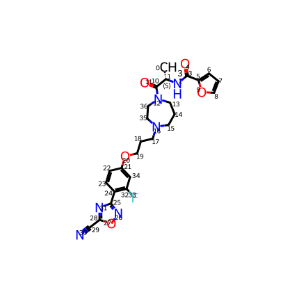 C[C@H](NC(=O)c1ccco1)C(=O)N1CCCN(CCCOc2ccc(-c3noc(C#N)n3)c(F)c2)CC1